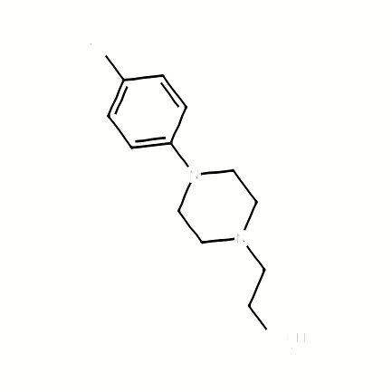 CC(=O)c1ccc(N2CCN(CCC(=O)O)CC2)cc1